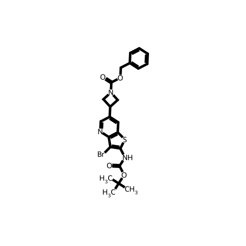 CC(C)(C)OC(=O)Nc1sc2cc(C3CN(C(=O)OCc4ccccc4)C3)cnc2c1Br